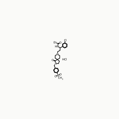 CCC(=O)NC(CCN1CCC2(CC1)CCN(Cc1ccc(S(C)(=O)=O)cc1)C2=O)c1cccc(Cl)c1.Cl